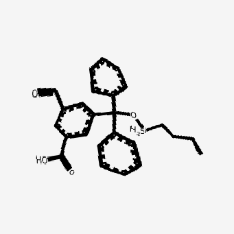 CCCC[SiH2]OC(c1ccccc1)(c1ccccc1)c1cc(C=O)cc(C(=O)O)c1